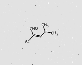 CC(=O)/C(C=O)=C/N(C)C